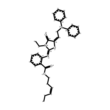 CC/C=C\CCOC(=O)c1ccccc1/N=C1/O/C(=C/CN(c2ccccc2)c2ccccc2)C(=O)N1CC